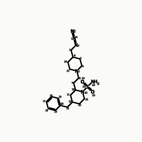 [N-]=[N+]=NCC1CCN(CCC2CC(Cc3ccccc3)CCN2S(N)(=O)=O)CC1